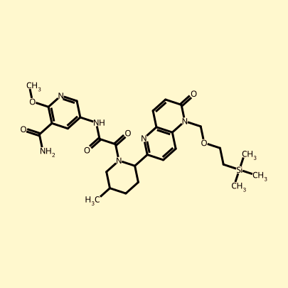 COc1ncc(NC(=O)C(=O)N2CC(C)CCC2c2ccc3c(ccc(=O)n3COCC[Si](C)(C)C)n2)cc1C(N)=O